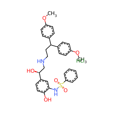 COc1ccc(C(CCNC[C@H](O)c2ccc(O)c(NS(=O)(=O)c3ccccc3)c2)c2ccc(OC)cc2)cc1.Cl